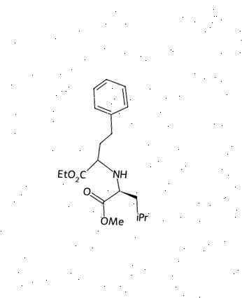 CCOC(=O)C(CCc1ccccc1)N[C@@H](CC(C)C)C(=O)OC